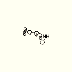 C[C@@H](NC(=O)Cc1ccc(-c2ccc(S(C)(=O)=O)cc2)nc1)C1CCCCC1